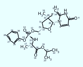 C=C1NC(=O)C=CN1[C@@H]1O[C@H](CO[P@](=O)(N[C@@H](C)C(=O)OC(C)C)Oc2ccccc2)C[C@@]1(C)F